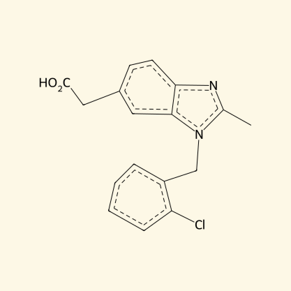 Cc1nc2ccc(CC(=O)O)cc2n1Cc1ccccc1Cl